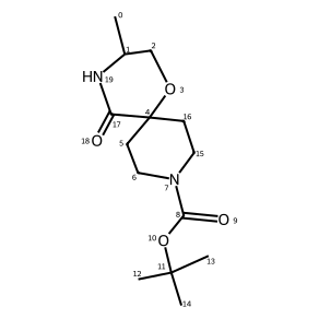 CC1COC2(CCN(C(=O)OC(C)(C)C)CC2)C(=O)N1